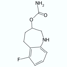 NC(=O)OC1CCc2c(F)cccc2NC1